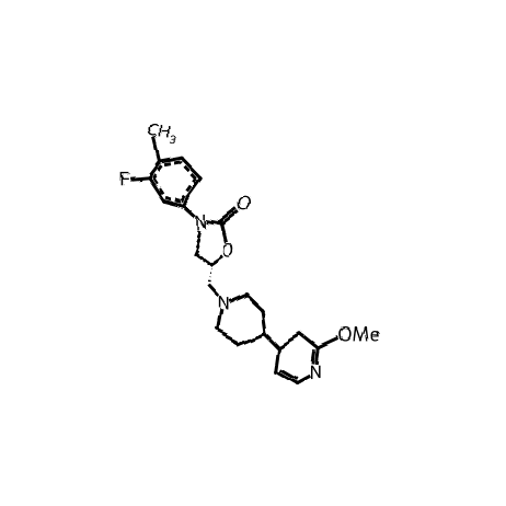 COC1=NC=CC(C2CCN(C[C@@H]3CN(c4ccc(C)c(F)c4)C(=O)O3)CC2)C1